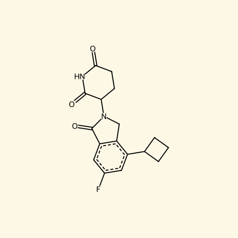 O=C1CCC(N2Cc3c(cc(F)cc3C3CCC3)C2=O)C(=O)N1